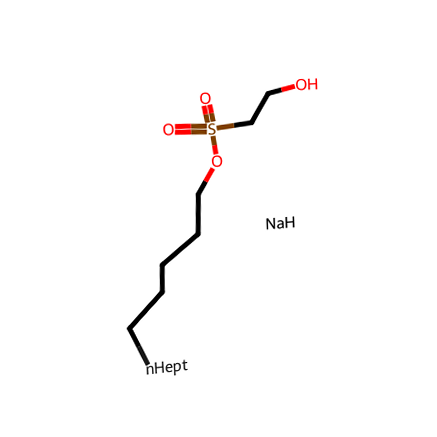 CCCCCCCCCCCCOS(=O)(=O)CCO.[NaH]